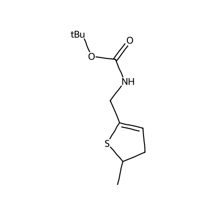 CC1CC=C(CNC(=O)OC(C)(C)C)S1